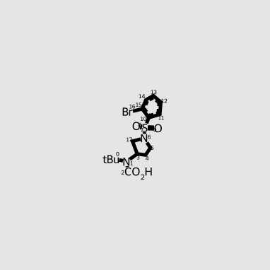 CC(C)(C)N(C(=O)O)C1CCN(S(=O)(=O)c2ccccc2Br)C1